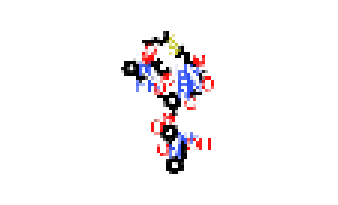 C=C(/C=C(\C)OC)C(=O)N1c2ccccc2C[C@H]1CNOCc1cc(COc2cc3c(cc2OC)C(=O)N2c4ccccc4C[C@H]2C(O)N3)cc(NC(=O)[C@H](C)NC(=O)[C@H](C)NC(=O)CCC(C)(C)SSC(C)CCC(C)=O)c1